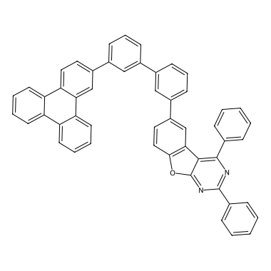 c1ccc(-c2nc(-c3ccccc3)c3c(n2)oc2ccc(-c4cccc(-c5cccc(-c6ccc7c8ccccc8c8ccccc8c7c6)c5)c4)cc23)cc1